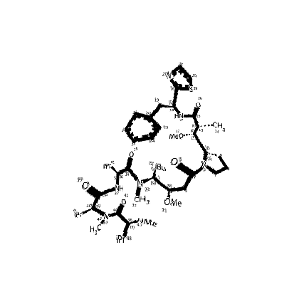 CC[C@H](C)[C@@H]([C@@H](CC(=O)N1CCC[C@H]1[C@H](OC)[C@@H](C)C(=O)N[C@@H](Cc1ccccc1)c1nccs1)OC)N(C)C(=O)[C@@H](NC(=O)[C@H](C(C)C)N(C)C(=O)[C@@H](NC)C(C)C)C(C)C